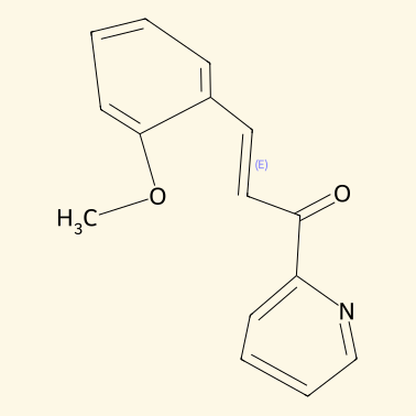 COc1ccccc1/C=C/C(=O)c1ccccn1